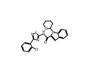 O=C(Nc1nc(-c2ccccc2Cl)ns1)c1[c]c2ccccc2n1C1CCCCO1